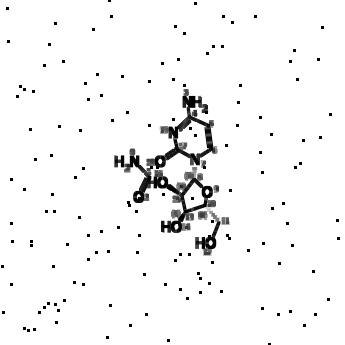 NC=O.Nc1ccn([C@@H]2O[C@H](CO)[C@@H](O)[C@H]2O)c(=O)n1